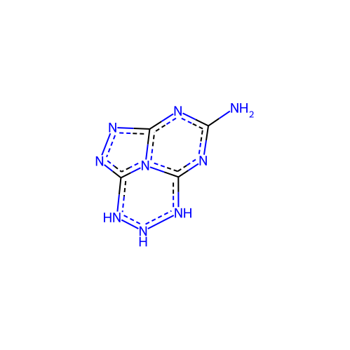 Nc1nc2nnc3[nH][nH][nH]c(n1)n23